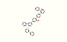 O=c1oc2cc(-c3cccc4oc5ccccc5c34)ccc2c2ccc(-c3ccc4c(c3)c3ccccc3n4-c3cccc(-c4ccccc4)c3)cc12